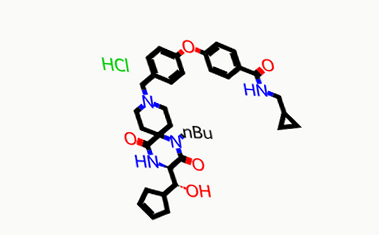 CCCCN1C(=O)[C@@H]([C@H](O)C2CC=CC2)NC(=O)C12CCN(Cc1ccc(Oc3ccc(C(=O)NCC4CC4)cc3)cc1)CC2.Cl